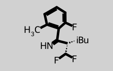 CC[C@@H](C)[C@@H](C(=N)c1c(C)cccc1F)C(F)F